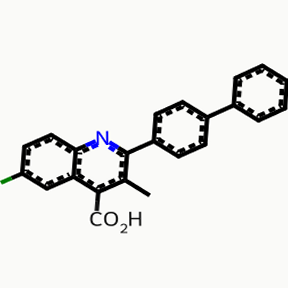 Cc1c(-c2ccc(-c3ccccc3)cc2)nc2ccc(F)cc2c1C(=O)O